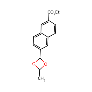 CCOC(=O)c1ccc2cc(C3OC(C)O3)ccc2c1